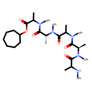 CCCNC(C)C(=O)N(CCC)[C@H](C)C(=O)N(CCC)C(C)C(=O)N(CCC)[C@H](C)C(=O)N(CCC)C(C)C(=O)OC1CCCCCC1